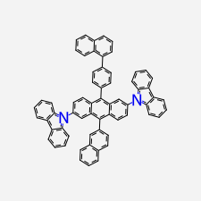 c1ccc2cc(-c3c4ccc(-n5c6ccccc6c6ccccc65)cc4c(-c4ccc(-c5cccc6ccccc56)cc4)c4ccc(-n5c6ccccc6c6ccccc65)cc34)ccc2c1